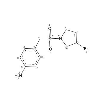 CCC1=CCN(S(=O)(=O)Cc2ccc(N)cc2)C1